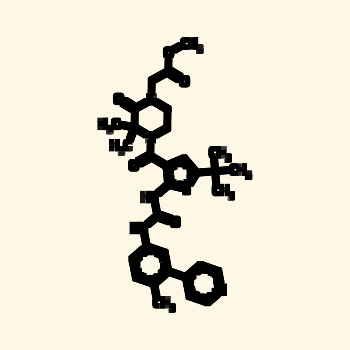 COC(=O)CN1CCN(C(=O)c2cc(C(C)(C)C)sc2NC(=O)Nc2ccc(C)c(-c3ccncc3)c2)C(C)(C)C1=O